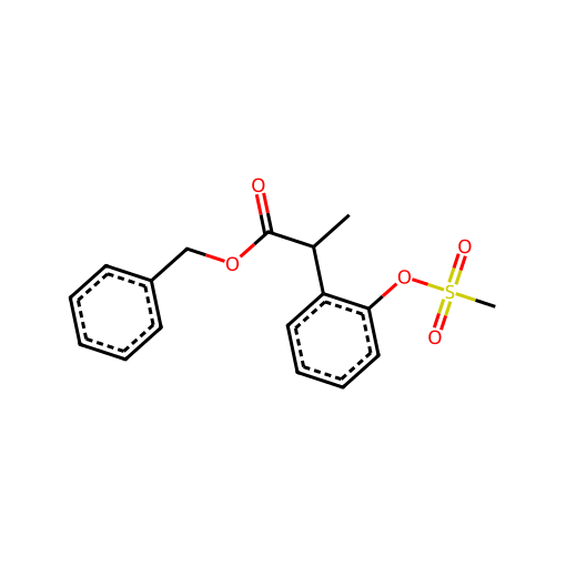 CC(C(=O)OCc1ccccc1)c1ccccc1OS(C)(=O)=O